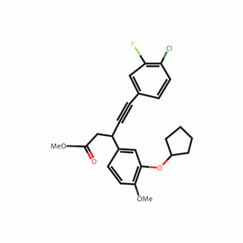 COC(=O)CC(C#Cc1ccc(Cl)c(F)c1)c1ccc(OC)c(OC2CCCC2)c1